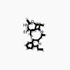 C=CC1=NC2CC(=C)/N=C(/C=C)C3=C(CCC2c2ccccc21)C(CC)NC(=C)OC3=C